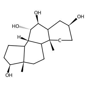 C[C@]12CC[C@H](O)CC1[C@H](O)[C@@H](O)[C@@H]1C2CC[C@@]2(C)C1CC[C@@H]2O